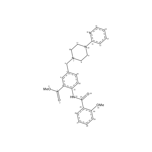 COC(=O)c1cc(CN2CCN(c3ccccn3)CC2)ccc1NC(=O)c1ccccc1OC